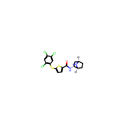 O=C(N[C@@H]1C[C@H]2CC[C@@H]1N2)c1ccc(Sc2cc(Cl)c(Cl)cc2Cl)s1